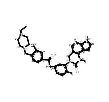 CCN1CCN(Cc2ccc(C(=O)Nc3ccc(C)c(N4Cc5cnc6[nH]ccc6c5N(C)C4=O)c3)cc2Cl)CC1